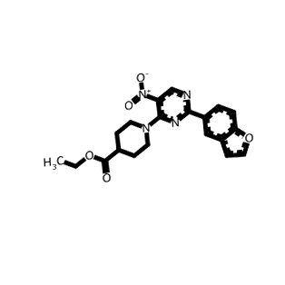 CCOC(=O)C1CCN(c2nc(-c3ccc4occc4c3)ncc2[N+](=O)[O-])CC1